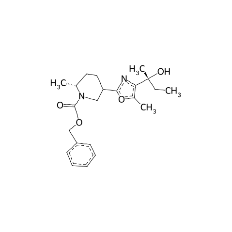 CC[C@@](C)(O)c1nc(C2CC[C@@H](C)N(C(=O)OCc3ccccc3)C2)oc1C